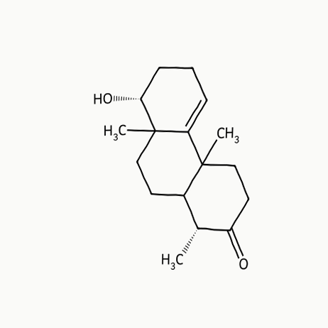 C[C@H]1C(=O)CCC2(C)C3=CCC[C@@H](O)C3(C)CCC12